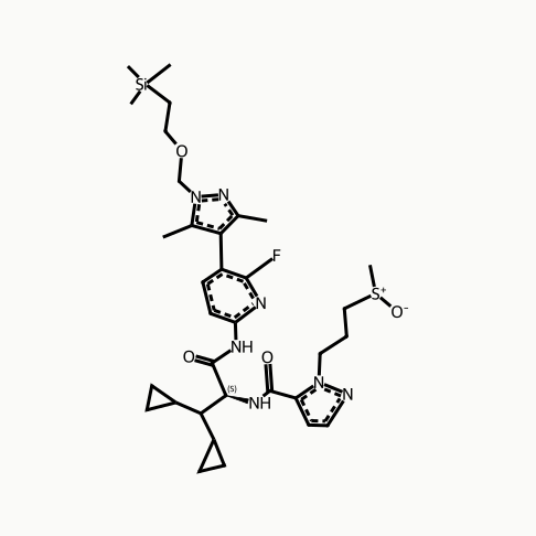 Cc1nn(COCC[Si](C)(C)C)c(C)c1-c1ccc(NC(=O)[C@@H](NC(=O)c2ccnn2CCC[S+](C)[O-])C(C2CC2)C2CC2)nc1F